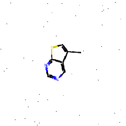 Cc1csc2ncncc12